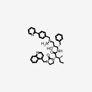 CC[C@H](C)[C@@H](C(=O)N[C@@H](Cc1ccccc1)[C@H](O)CN(N)Cc1ccc(-c2ccccn2)cc1)N1CCN(Cc2ccnc3ccccc23)C1=O